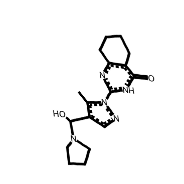 Cc1c(C(O)N2CCCC2)cnn1-c1nc2c(c(=O)[nH]1)CCCC2